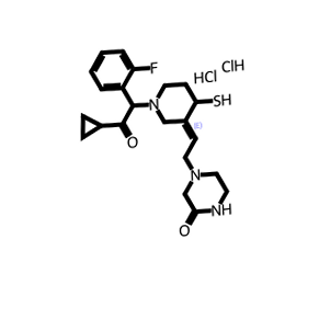 Cl.Cl.O=C1CN(C/C=C2\CN(C(C(=O)C3CC3)c3ccccc3F)CCC2S)CCN1